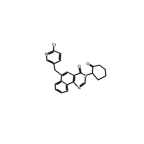 O=C1CCCCC1n1cnc2c(cc(Cc3ccc(Cl)nc3)c3ccccc32)c1=O